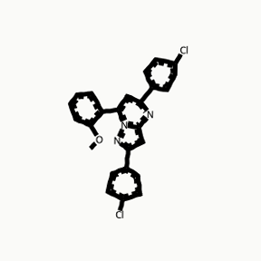 COc1ccccc1-c1cc(-c2ccc(Cl)cc2)nc2cc(-c3ccc(Cl)cc3)nn12